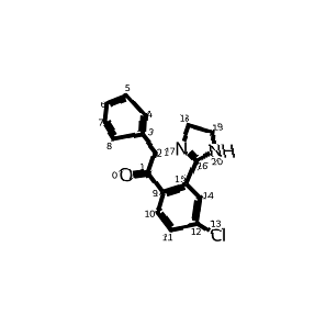 O=C(Cc1ccccc1)c1ccc(Cl)cc1C1=NCCN1